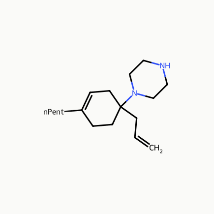 C=CCC1(N2CCNCC2)CC=C(CCCCC)CC1